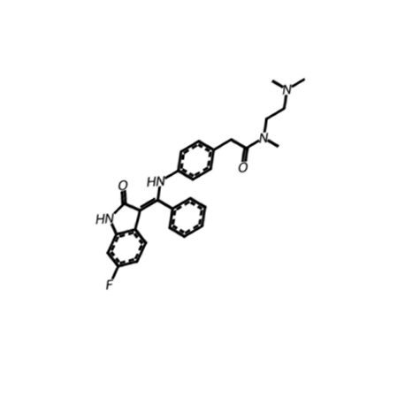 CN(C)CCN(C)C(=O)Cc1ccc(N/C(=C2\C(=O)Nc3cc(F)ccc32)c2ccccc2)cc1